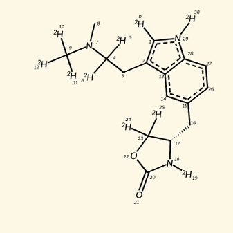 [2H]c1c(CC([2H])([2H])N(C)C([2H])([2H])[2H])c2cc(C[C@@H]3N([2H])C(=O)OC3([2H])[2H])ccc2n1[2H]